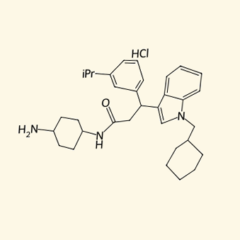 CC(C)c1cccc(C(CC(=O)NC2CCC(N)CC2)c2cn(CC3CCCCC3)c3ccccc23)c1.Cl